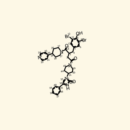 O=C(CC(Cc1cc(Br)c(O)c(Br)c1)C(=O)N1CCC(c2ccncc2)CC1)N1CCC(n2cc(-c3ccccc3)[nH]c2=O)CC1